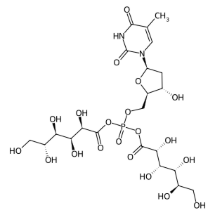 Cc1cn([C@H]2C[C@H](O)[C@@H](COP(=O)(OC(=O)[C@H](O)[C@@H](O)[C@H](O)[C@H](O)CO)OC(=O)[C@H](O)[C@@H](O)[C@H](O)[C@H](O)CO)O2)c(=O)[nH]c1=O